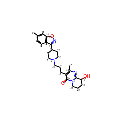 Cc1ccc2c(C3CCN(CCCc4c(C)nc5n(c4=O)CCCC5O)CC3)noc2c1